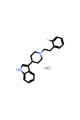 Cl.Fc1ccccc1CCN1CCC(c2c[nH]c3ccccc23)CC1